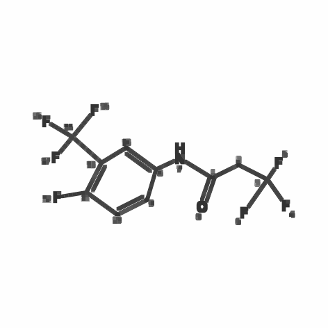 O=C(CC(F)(F)F)Nc1ccc(F)c(C(F)(F)F)c1